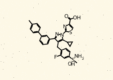 Cc1ccc(-c2cccc(-c3nn(-c4nc(C(=O)O)cs4)c(C4CC4)c3Cc3ccc([SH](C)(N)=O)cc3F)c2)cc1